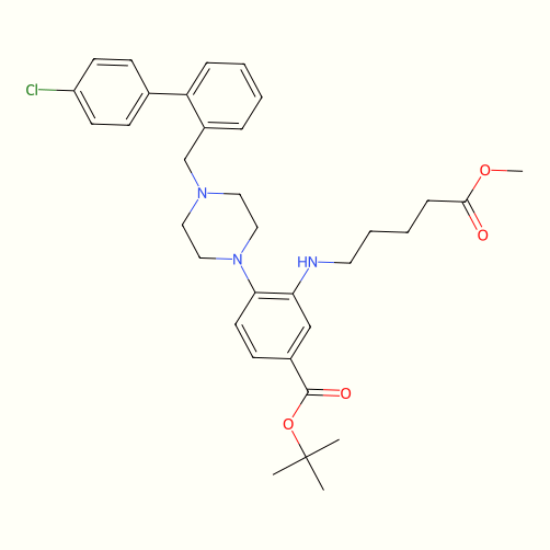 COC(=O)CCCCNc1cc(C(=O)OC(C)(C)C)ccc1N1CCN(Cc2ccccc2-c2ccc(Cl)cc2)CC1